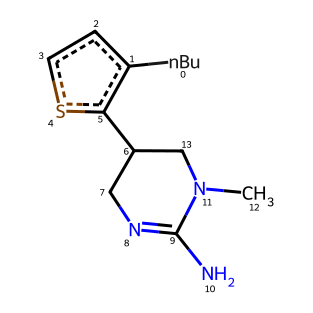 CCCCc1ccsc1C1CN=C(N)N(C)C1